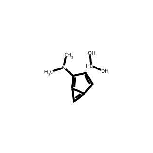 CN(C)c1ccc2cc1-2.OBO